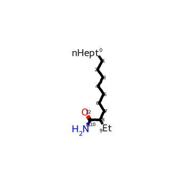 CCCCCCCCCCCCCCC(CC)C(N)=O